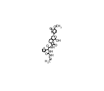 COCNC(=O)NC(C(=O)N[C@H]1C(=O)N2C(C(=O)O)=C(CSc3ccc(OC)[n+]([O-])n3)CSC12)c1cccs1